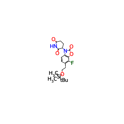 CC(C)(C)[Si](C)(C)OCCc1ccc2c(oc(=O)n2C2CCC(=O)NC2=O)c1F